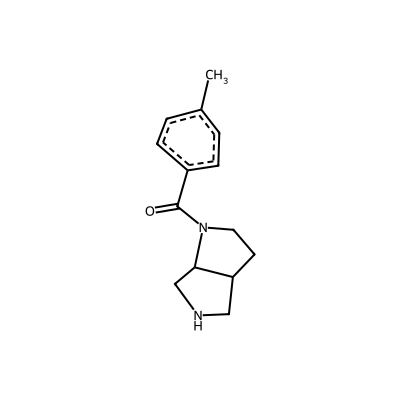 Cc1ccc(C(=O)N2CCC3CNCC32)cc1